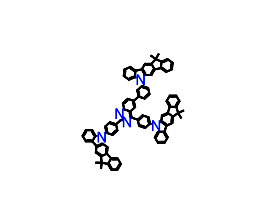 CC1(C)c2ccccc2-c2cc3c(cc21)c1ccccc1n3-c1ccc(-c2nc(-c3ccc(-n4c5ccccc5c5cc6c(cc54)-c4ccccc4C6(C)C)cc3)c3cc(-c4cccc(-n5c6ccccc6c6cc7c(cc65)-c5ccccc5C7(C)C)c4)ccc3n2)cc1